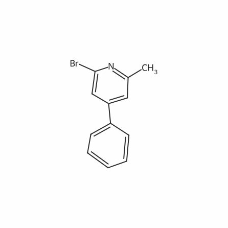 Cc1cc(-c2ccccc2)cc(Br)n1